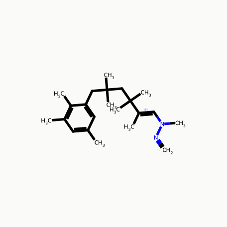 C=NN(C)/C=C(\C)C(C)(C)CC(C)(C)Cc1cc(C)cc(C)c1C